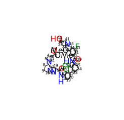 COC(=O)[C@@H]1CCN(C2CCCn3nc(C(=O)Nc4cccc(-c5cccc(NC(=O)c6cc(F)c(CN7CC[C@@H](O)C7)c(OC)c6)c5Cl)c4Cl)cc32)C1